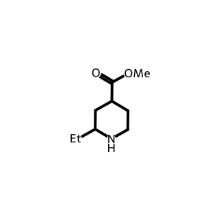 CCC1CC(C(=O)OC)CCN1